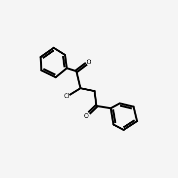 O=C(CC(Cl)C(=O)c1ccccc1)c1ccccc1